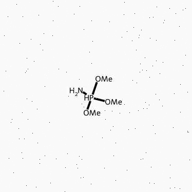 CO[PH](N)(OC)OC